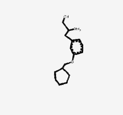 NC(CO)Cc1cccc(OCC2CCCCC2)c1